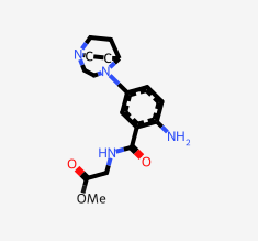 COC(=O)CNC(=O)c1cc(N2CCN3CCC2CC3)ccc1N